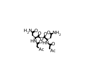 CC(=O)CC(=O)N[C@@H](CC(N)=O)C(=O)OC(=O)[C@H](CC(N)=O)NC(=O)CC(C)=O